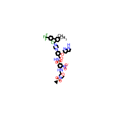 CC1(C)CCC(CN2CCN(c3ccc(C(=O)NS(=O)(=O)c4ccc(NCC5CN(S(=O)(=O)C6CC6)CCO5)c([N+](=O)[O-])c4)c(Oc4cnc5[nH]ccc5c4)c3)CC2)=C(c2ccc(C(F)(F)F)cc2Cl)C1